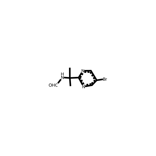 CC(C)(NC=O)c1ncc(Br)cn1